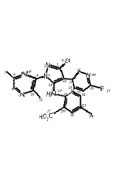 CCc1nn(-c2nc(C)cnc2C)c(Nc2ccc(C)cc2C(=O)O)c1-c1ccc(F)nc1